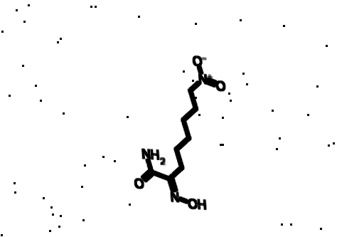 NC(=O)/C(CCCCCC[N+](=O)[O-])=N/O